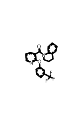 O=C(c1cccnc1Oc1cccc(C(F)(F)F)c1)N1CCCc2ccccc21